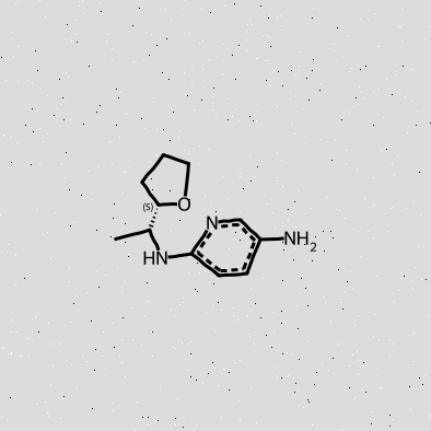 CC(Nc1ccc(N)cn1)[C@@H]1CCCO1